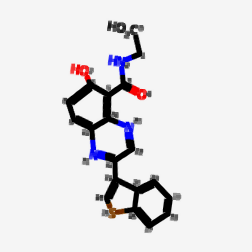 O=C(O)CNC(=O)c1c(O)ccc2nc(-c3csc4ccccc34)cnc12